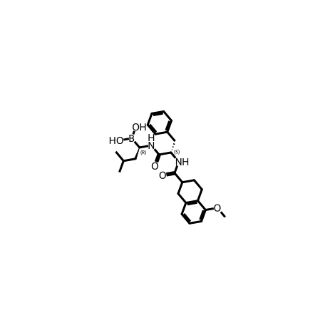 COc1cccc2c1CCC(C(=O)N[C@@H](Cc1ccccc1)C(=O)N[C@@H](CC(C)C)B(O)O)C2